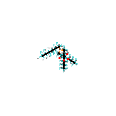 FC(F)(F)C(F)(F)C(F)(F)C(F)(F)C(F)(F)C(F)(F)P(C(F)(F)C(F)(F)C(F)(F)C(F)(F)C(F)(F)C(F)(F)F)C(F)(F)C(F)(F)C(F)(F)C(F)(F)C(F)(F)C(F)(F)F